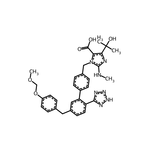 CNc1nc(C(C)(C)O)c(C(=O)O)n1Cc1ccc(-c2cc(Cc3ccc(OCOC)cc3)ccc2-c2nn[nH]n2)cc1